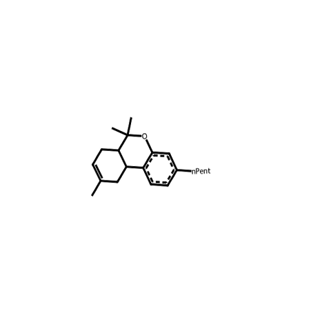 CCCCCc1ccc2c(c1)OC(C)(C)C1CC=C(C)CC21